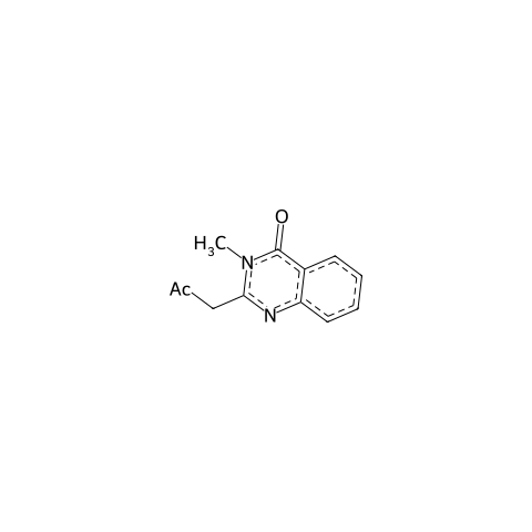 CC(=O)Cc1nc2ccccc2c(=O)n1C